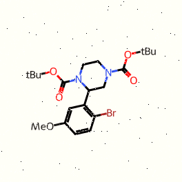 COc1ccc(Br)c(C2CN(C(=O)OC(C)(C)C)CCN2C(=O)OC(C)(C)C)c1